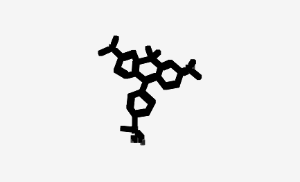 CN(C)c1ccc(C2=C3C=CC(=[N+](C)C)C=C3C(C)(C)c3cc(N(C)C)ccc32)cc1.N